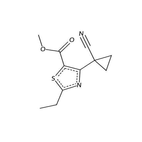 CCc1nc(C2(C#N)CC2)c(C(=O)OC)s1